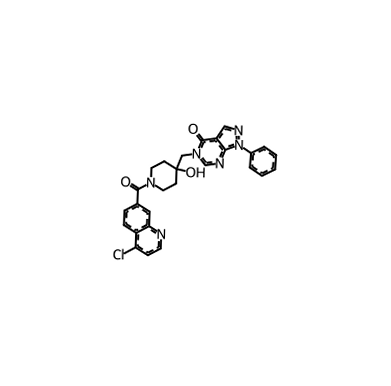 O=C(c1ccc2c(Cl)ccnc2c1)N1CCC(O)(Cn2cnc3c(cnn3-c3ccccc3)c2=O)CC1